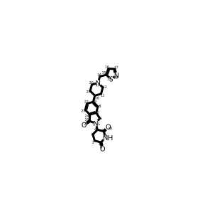 O=C1CCC(N2Cc3cc(C4CCN(Cc5ccns5)CC4)ccc3C2=O)C(=O)N1